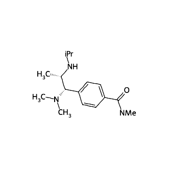 CNC(=O)c1ccc([C@@H]([C@H](C)NC(C)C)N(C)C)cc1